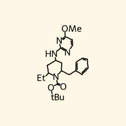 CCC1CC(Nc2nccc(OC)n2)CC(Cc2ccccc2)N1C(=O)OC(C)(C)C